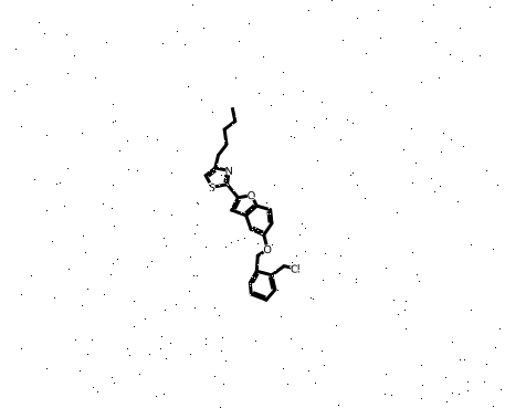 CCCCCc1csc(-c2cc3cc(OCc4ccccc4CCl)ccc3o2)n1